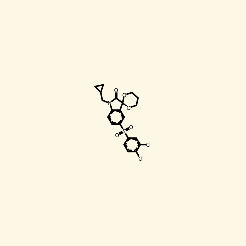 O=C1N(CC2CC2)c2ccc(S(=O)(=O)c3ccc(Cl)c(Cl)c3)cc2C12OCCCO2